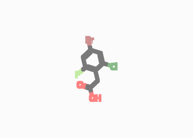 O=C(O)Cc1c(F)cc(Br)cc1Cl